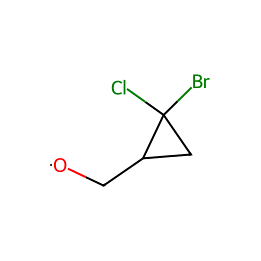 [O]CC1CC1(Cl)Br